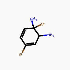 NC1C=C(Br)C=CC1(N)Br